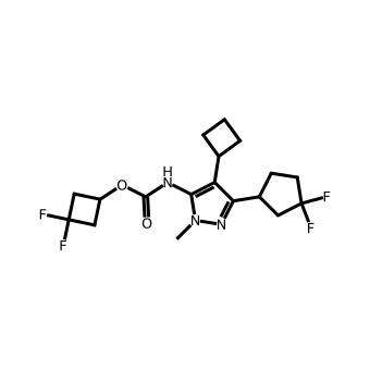 Cn1nc(C2CCC(F)(F)C2)c(C2CCC2)c1NC(=O)OC1CC(F)(F)C1